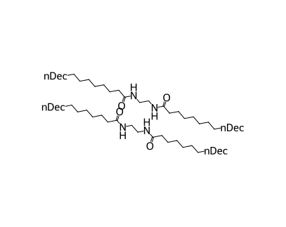 CCCCCCCCCCCCCCCCC(=O)NCCNC(=O)CCCCCCCCCCCCCCCC.CCCCCCCCCCCCCCCCCC(=O)NCCNC(=O)CCCCCCCCCCCCCCCCC